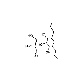 CCCCOCCCC.OCC(O)CO.OCC(O)CO